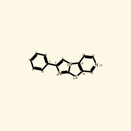 c1ccc(-c2cn3c(n2)sc2cnccc23)cc1